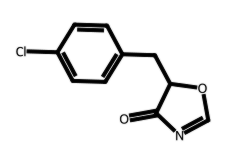 O=C1N=COC1Cc1ccc(Cl)cc1